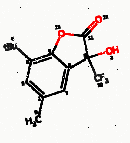 Cc1cc(C(C)(C)C)c2c(c1)C(O)(C(F)(F)F)C(=O)O2